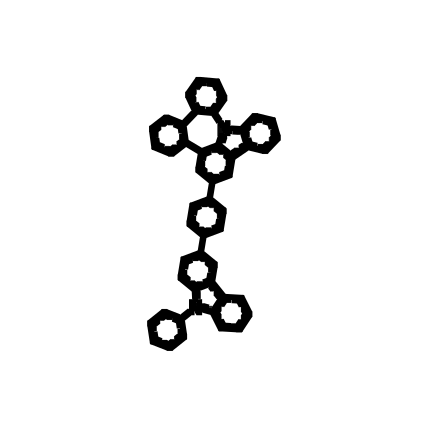 c1ccc(-n2c3ccccc3c3cc(-c4ccc(-c5cc6c7c(c5)c5ccccc5n7-c5ccccc5-c5ccccc5-6)cc4)ccc32)cc1